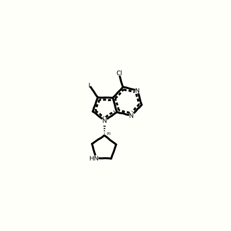 Clc1ncnc2c1c(I)cn2[C@@H]1CCNC1